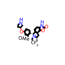 COc1cc(O[C@H]2CCNC2)ccc1[C@@H]1c2ccc3[nH]c(=O)oc3c2C[C@@H](C)N1CC(F)(F)F